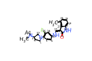 CC(=O)N(C)C1CCN(c2ccc(N/C=C3\C(=O)Nc4cccc(C)c43)cc2F)C1